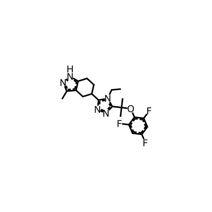 CCn1c(C2CCc3[nH]nc(C)c3C2)nnc1C(C)(C)Oc1c(F)cc(F)cc1F